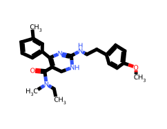 CCN(C)C(=O)C1=C(c2cccc(C)c2)N=C(NCCc2ccc(OC)cc2)NC1